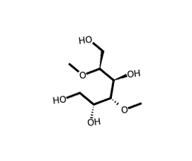 CO[C@@H]([C@H](O)[C@H](CO)OC)[C@H](O)CO